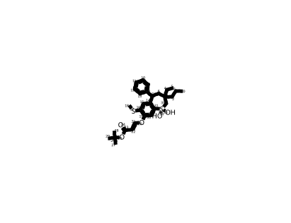 CCCC1(CC)CC(c2ccccc2)c2cc(SC)c(O/C=C/C(=O)OC(C)(C)C)cc2S(O)(O)C1